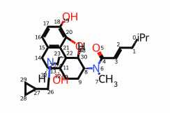 CC(C)C/C=C/C(=O)N(C)[C@H]1CC[C@@]2(O)[C@H]3Cc4ccc(O)c5c4[C@@]2(CCN3CC2CC2)[C@H]1O5